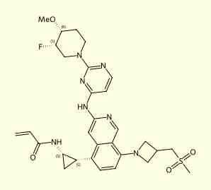 C=CC(=O)N[C@H]1C[C@H]1c1ccc(N2CC(CS(C)(=O)=O)C2)c2cnc(Nc3ccnc(N4CC[C@@H](OC)[C@@H](F)C4)n3)cc12